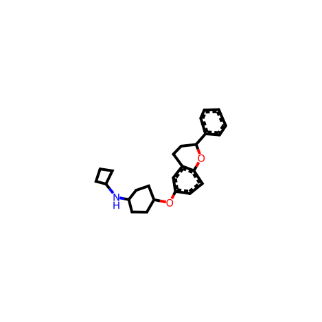 c1ccc(C2CCc3cc(OC4CCC(NC5CCC5)CC4)ccc3O2)cc1